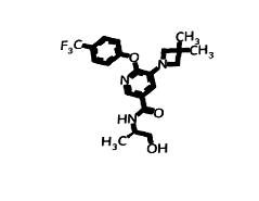 C[C@H](CO)NC(=O)c1cnc(Oc2ccc(C(F)(F)F)cc2)c(N2CC(C)(C)C2)c1